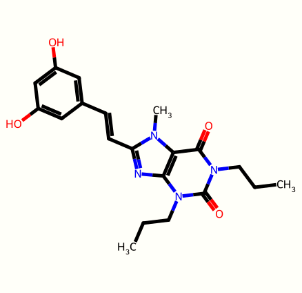 CCCn1c(=O)c2c(nc(/C=C/c3cc(O)cc(O)c3)n2C)n(CCC)c1=O